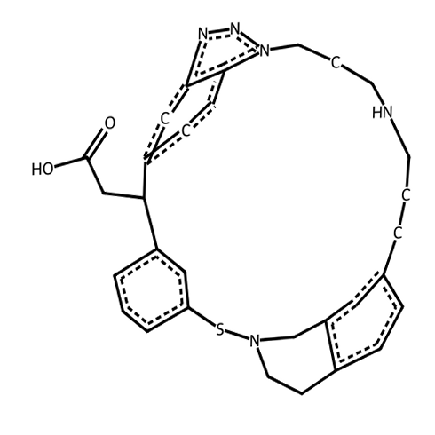 O=C(O)CC1c2cccc(c2)SN2CCc3ccc(cc3C2)CCCNCCCn2nnc3cc1ccc32